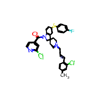 Cc1ccc(/C=C/CN2CCC3(CC2)CN(C(=O)c2ccnc(Cl)c2)c2ccc(Sc4ccc(F)cc4)cc23)c(Cl)c1